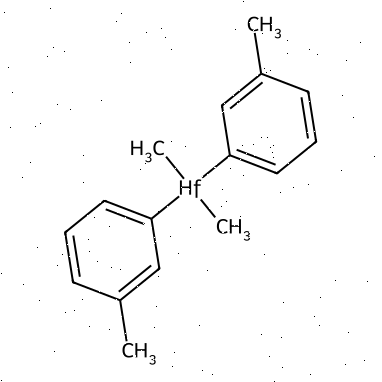 Cc1ccc[c]([Hf]([CH3])([CH3])[c]2cccc(C)c2)c1